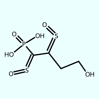 O=S=C(CCO)C(=S=O)P(=O)(O)O